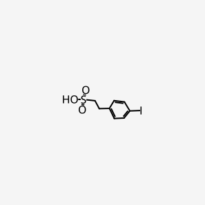 O=S(=O)(O)CCc1ccc(I)cc1